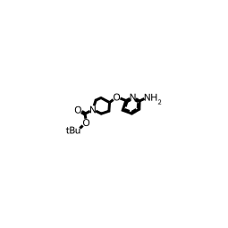 CC(C)(C)OC(=O)N1CCC(Oc2cccc(N)n2)CC1